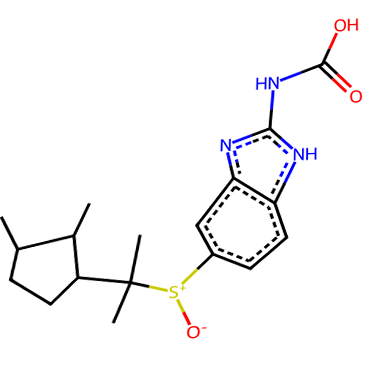 CC1CCC(C(C)(C)[S+]([O-])c2ccc3[nH]c(NC(=O)O)nc3c2)C1C